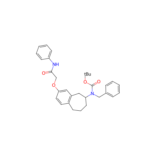 CC(C)(C)OC(=O)N(Cc1ccccc1)C1CCCc2ccc(OCC(=O)Nc3ccccc3)cc2C1